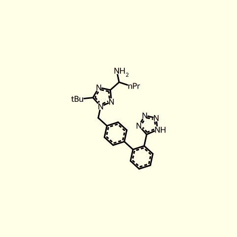 CCCC(N)c1nc(C(C)(C)C)n(Cc2ccc(-c3ccccc3-c3nnn[nH]3)cc2)n1